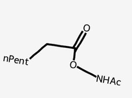 CCCCCCC(=O)ONC(C)=O